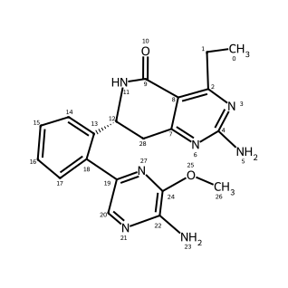 CCc1nc(N)nc2c1C(=O)N[C@@H](c1ccccc1-c1cnc(N)c(OC)n1)C2